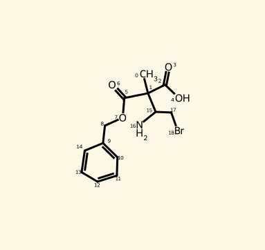 CC(C(=O)O)(C(=O)OCc1ccccc1)C(N)CBr